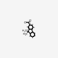 CC1(C)c2ccccc2-c2ccc(C(Cl)Cl)cc21